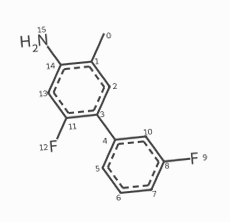 Cc1cc(-c2cccc(F)c2)c(F)cc1N